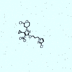 O=[N+]([O-])c1c(OCCCn2ccc(Cl)n2)nn(C2CCOC(Cl)C2)c1C1CC1